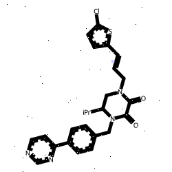 CC(C)C1CN(C/C=C/c2ccc(Cl)s2)C(=O)C(=O)N1Cc1ccc(-c2ccncn2)cc1